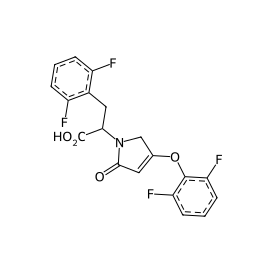 O=C(O)C(Cc1c(F)cccc1F)N1CC(Oc2c(F)cccc2F)=CC1=O